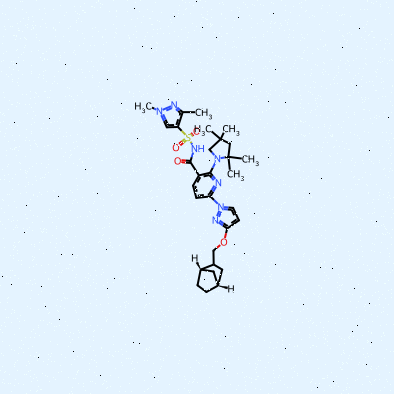 Cc1nn(C)cc1S(=O)(=O)NC(=O)c1ccc(-n2ccc(OCC3C[C@@H]4CC[C@H]3C4)n2)nc1N1CC(C)(C)CC1(C)C